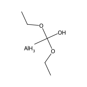 CCOC(C)(O)OCC.[AlH3]